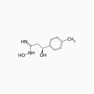 Cc1ccc([C@@H](O)CC(=N)NO)cc1